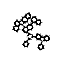 c1ccc(-c2nc(-c3ccc4c5ccccc5n(-c5ccccc5)c4c3)nc(-c3ccc(-n4c5cc6ccccc6cc5c5ccc6ccccc6c54)c4cc(-c5cccc6ccccc56)ccc34)n2)cc1